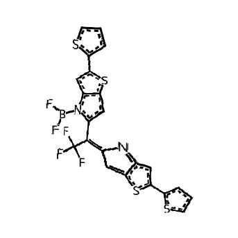 FB(F)n1c(/C(=C2/C=c3sc(-c4cccs4)cc3=N2)C(F)(F)F)cc2sc(-c3cccs3)cc21